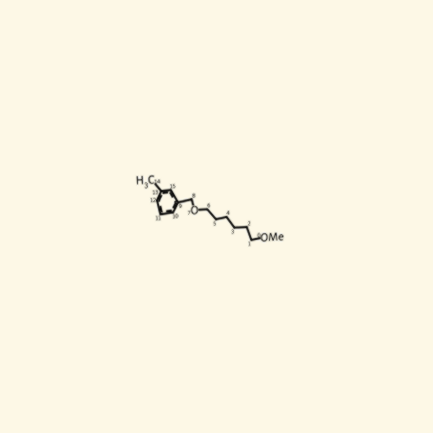 COCCCCCCOCc1cccc(C)c1